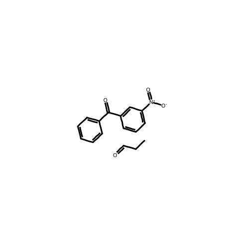 CCC=O.O=C(c1ccccc1)c1cccc([N+](=O)[O-])c1